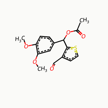 COc1ccc(C(OC(C)=O)c2sccc2C=O)cc1OC